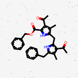 CC(=O)c1c(Cc2[nH]c(C(=O)OCc3ccccc3)c(C(C)=O)c2C)[nH]c(Cc2ccccc2)c1C